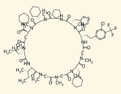 CC[C@H](C)[C@@H]1NC(=O)[C@H](CC(C)C)N(C)C(=O)C[C@@H](C(=O)N2CCCCC2)N(C)C(=O)[C@H](C2CCCCC2)N(C)C(=O)C2(CCCC2)NC(=O)[C@H](Cc2cscn2)N(C)C(=O)[C@H](CCc2ccc(C(F)(F)F)c(Cl)c2)NC(=O)CN(C)C(=O)[C@H](CC2CCCCC2)N(C)C(=O)CN(C)C(=O)CN(C)C1=O